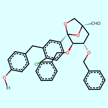 CCOc1ccc(Cc2cc([C@@]34OC[C@@](C=O)(C[C@H](OCc5ccccc5)[C@H]3OCc3ccccc3)O4)ccc2Cl)cc1